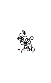 Cc1ccc(-c2ccc3c4ccccc4n(-c4ccc(-c5c(C(F)(F)F)cccc5C(F)(F)F)c(-n5c6ccccc6c6ccc(-c7ccc(C)cc7C)cc65)c4C#N)c3c2)c(C)c1